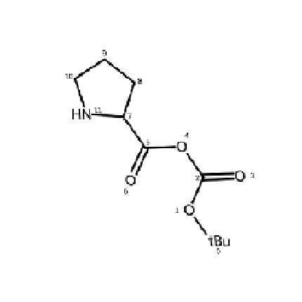 CC(C)(C)OC(=O)OC(=O)[C]1CCCN1